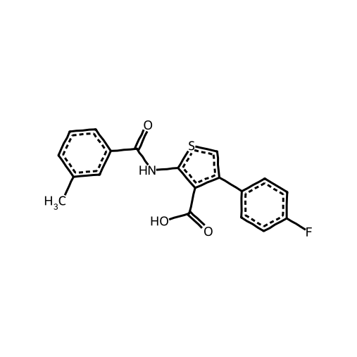 Cc1cccc(C(=O)Nc2scc(-c3ccc(F)cc3)c2C(=O)O)c1